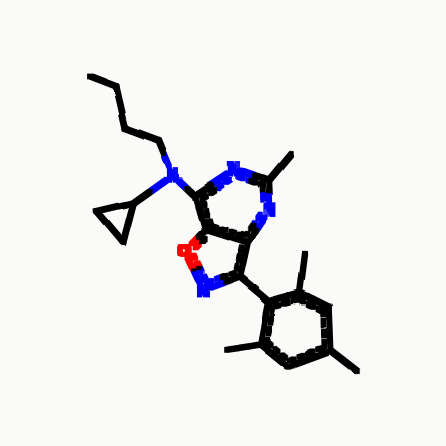 CCCCN(c1nc(C)nc2c(-c3c(C)cc(C)cc3C)noc12)C1CC1